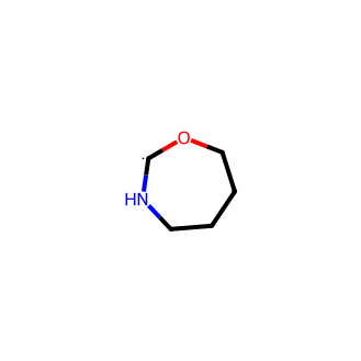 [CH]1NCCCCO1